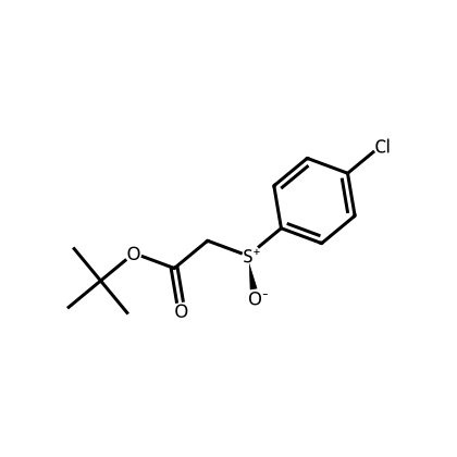 CC(C)(C)OC(=O)C[S@+]([O-])c1ccc(Cl)cc1